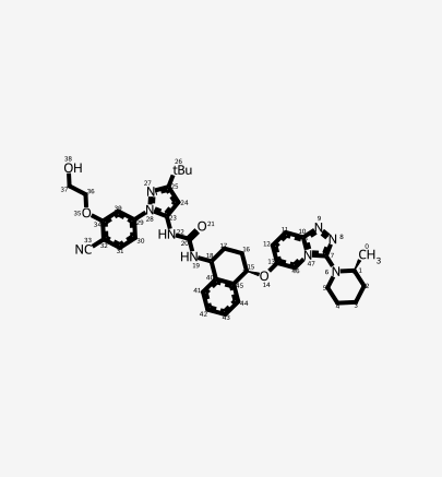 C[C@H]1CCCCN1c1nnc2ccc(O[C@@H]3CCC(NC(=O)Nc4cc(C(C)(C)C)nn4-c4ccc(C#N)c(OCCO)c4)c4ccccc43)cn12